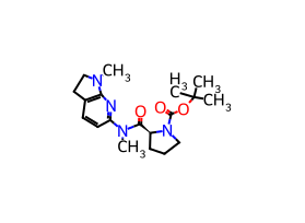 CN1CCc2ccc(N(C)C(=O)[C@@H]3CCCN3C(=O)OC(C)(C)C)nc21